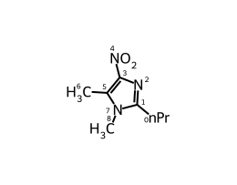 CCCc1nc([N+](=O)[O-])c(C)n1C